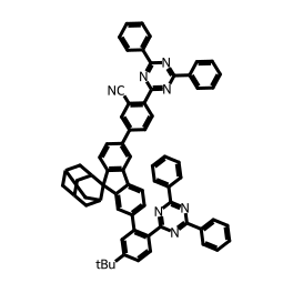 CC(C)(C)c1ccc(-c2nc(-c3ccccc3)nc(-c3ccccc3)n2)c(-c2ccc3c(c2)C2(c4ccc(-c5ccc(-c6nc(-c7ccccc7)nc(-c7ccccc7)n6)c(C#N)c5)cc4-3)C3CC4CC(C3)CC2C4)c1